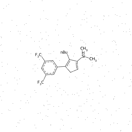 CCCCC1=C(c2cc(C(F)(F)F)cc(C(F)(F)F)c2)CC=C1[SiH](C)C